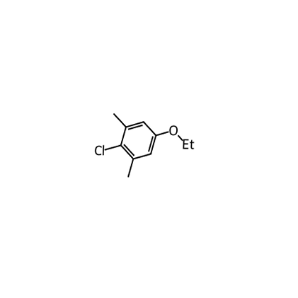 [CH2]COc1cc(C)c(Cl)c(C)c1